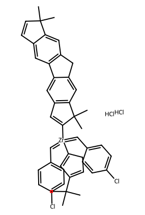 CC(C)(C)C1=CC[C]([Zr](=[CH]c2ccc(Cl)cc2)(=[CH]c2ccc(Cl)cc2)[C]2=Cc3cc4c(cc3C2(C)C)Cc2cc3c(cc2-4)C=CC3(C)C)=C1.Cl.Cl